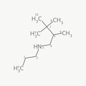 CCCNCC(C)C(C)(C)C